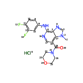 Cl.Cn1cnc2c(Nc3ccc(F)c(F)c3)ncc(C(=O)N3CCOCC3)c21